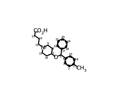 Cc1ccc(C(OC2CCN(CCCC(=O)O)CC2)c2ccccc2)cc1